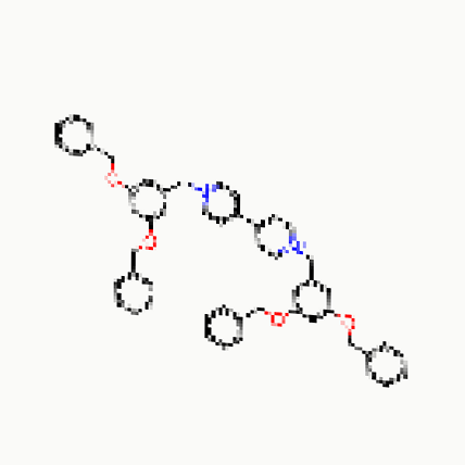 c1ccc(COc2cc(C[n+]3ccc(-c4cc[n+](Cc5cc(OCc6ccccc6)cc(OCc6ccccc6)c5)cc4)cc3)cc(OCc3ccccc3)c2)cc1